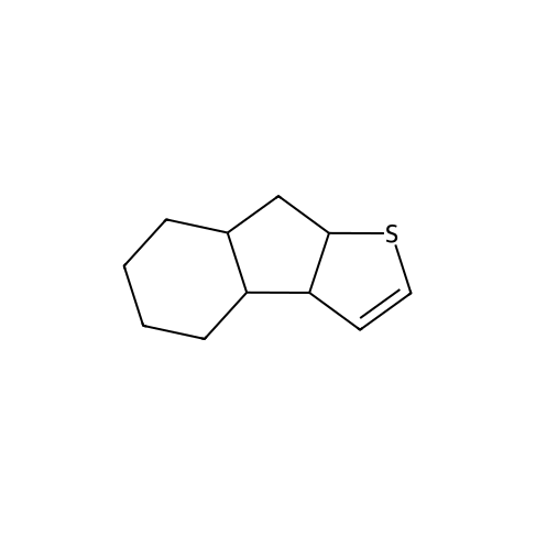 C1=CC2C(CC3CCCCC32)S1